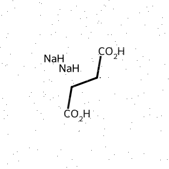 O=C(O)[CH]CC(=O)O.[NaH].[NaH]